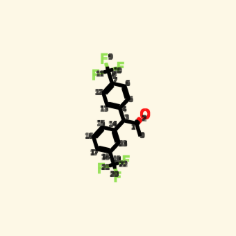 CC(=O)C(c1ccc(C(F)(F)F)cc1)c1cccc(C(F)(F)F)c1